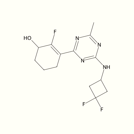 Cc1nc(NC2CC(F)(F)C2)nc(C2=C(F)C(O)CCC2)n1